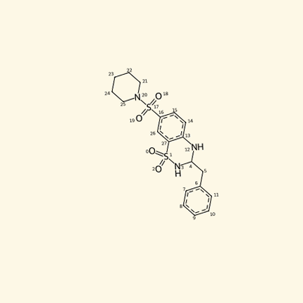 O=S1(=O)NC(Cc2ccccc2)Nc2ccc(S(=O)(=O)N3CCCCC3)cc21